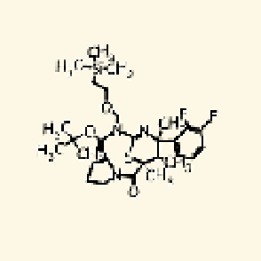 CC1[C@@](C)(C(=O)N2CCCC2)SC(N(COCC[Si](C)(C)C)C(=O)OC(C)(C)C)=N[C@]1(C)c1cccc(F)c1F